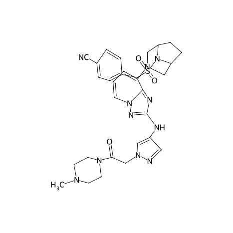 CN1CCN(C(=O)Cn2cc(Nc3nc4c(N5CC6CCC(C5)N6S(=O)(=O)Cc5ccc(C#N)cc5)cccn4n3)cn2)CC1